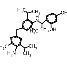 Cc1cc(Cc2cc(C)c(NC(C)c3ccc(O)cc3O)c(C(C)C)c2)cc(C(C)C)c1N